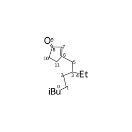 CCC(C)CCC(CC)CC1=CC(=O)CC1